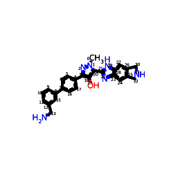 Cn1nc(-c2ccc(-c3cccc(CN)c3)cc2)c(O)c1-c1nc2cc3c(cc2[nH]1)CNC3